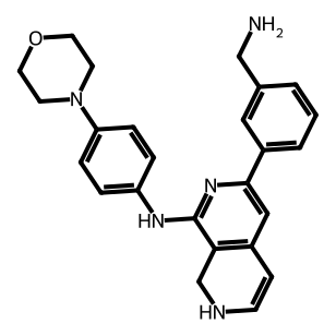 NCc1cccc(-c2cc3c(c(Nc4ccc(N5CCOCC5)cc4)n2)CNC=C3)c1